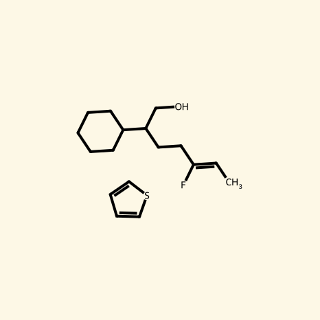 CC=C(F)CCC(CO)C1CCCCC1.c1ccsc1